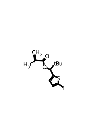 C=C(C)C(=O)OC(c1ccc(I)s1)C(C)(C)C